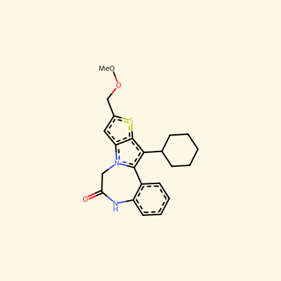 COOCc1cc2c(s1)c(C1CCCCC1)c1n2CC(=O)Nc2ccccc2-1